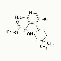 Cc1ncc(Br)c(N2CCC(C)(C)CC2)c1[C@H](O)C(=O)OC(C)C